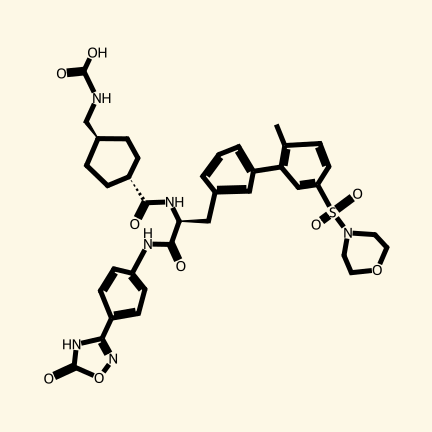 Cc1ccc(S(=O)(=O)N2CCOCC2)cc1-c1cccc(C[C@H](NC(=O)[C@H]2CC[C@H](CNC(=O)O)CC2)C(=O)Nc2ccc(-c3noc(=O)[nH]3)cc2)c1